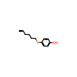 C=CCCCCSc1ccc(O)cc1